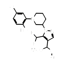 CCOC(OC)c1cnn(C2CCCN(c3cc(Cl)ccc3O)C2)c1C(F)F